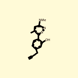 C#CCc1ccc(-c2nnc(NC)cc2C)c(O)c1